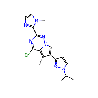 Cc1c(-c2ccn(C(C)C)n2)cn2nc(-c3nccn3C)nc(Cl)c12